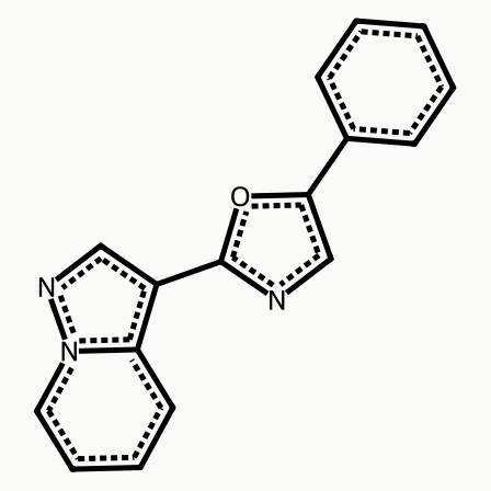 c1ccc(-c2cnc(-c3cnn4ccccc34)o2)cc1